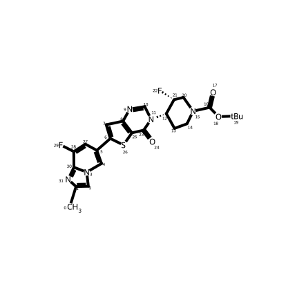 Cc1cn2cc(-c3cc4ncn([C@H]5CCN(C(=O)OC(C)(C)C)C[C@H]5F)c(=O)c4s3)cc(F)c2n1